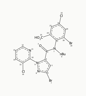 CCCCN(C(=O)c1cc(Br)nn1-c1ncccc1Cl)c1c(Br)cc(Cl)cc1C(=O)O